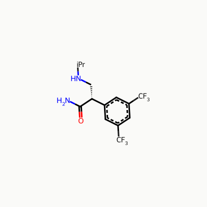 CC(C)NC[C@@H](C(N)=O)c1cc(C(F)(F)F)cc(C(F)(F)F)c1